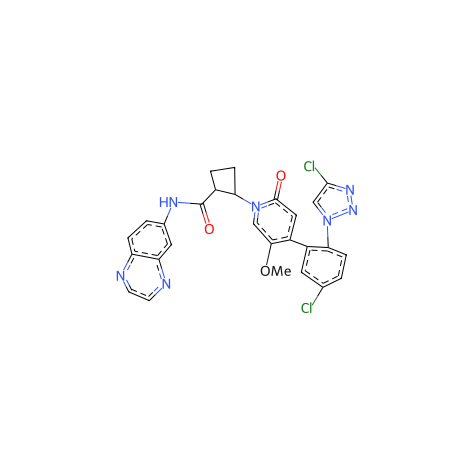 COc1cn(C2CCC2C(=O)Nc2ccc3nccnc3c2)c(=O)cc1-c1cc(Cl)ccc1-n1cc(Cl)nn1